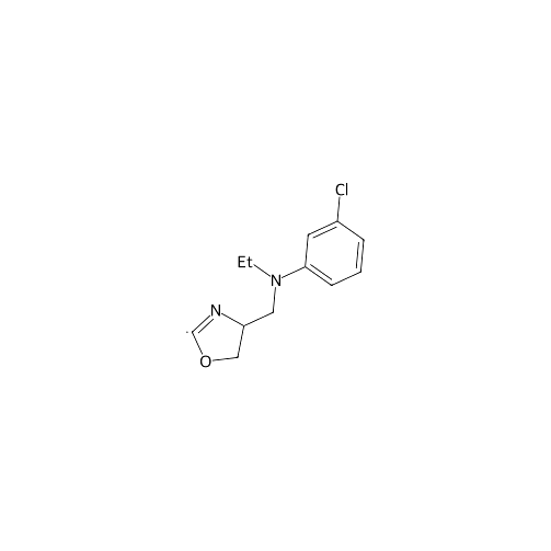 CCN(CC1CO[C]=N1)c1cccc(Cl)c1